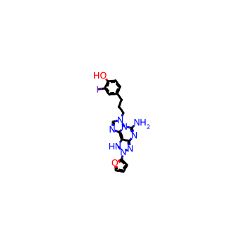 NC1=NC2=NN(c3ccco3)NC2=C2N=CN(CCCc3ccc(O)c(I)c3)N12